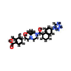 Cc1c([C@H]2CN3CCN(C(=O)C4CCCc5cc(-n6cnnn6)ccc54)C[C@H]3CO2)ccc2c1COC2=O